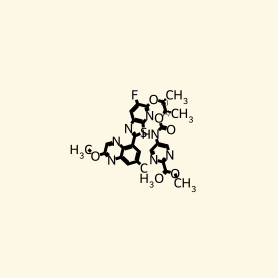 COC(=O)c1ncc(NC(=O)O[C@H](C)[C@H](C)Oc2nc3sc(-c4cc(C)cc5nc(OC)cnc45)nc3cc2F)cn1